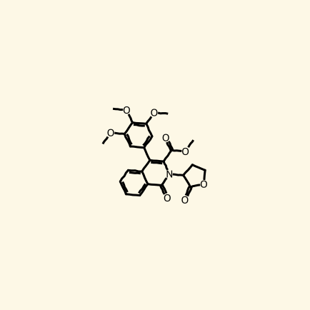 COC(=O)c1c(-c2cc(OC)c(OC)c(OC)c2)c2ccccc2c(=O)n1C1CCOC1=O